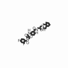 O=C(NCC(O)CN1CCc2ccccc2C1)c1ccc2c(c1)NC(=O)C1(CN(C(=O)c3ccc(F)cc3F)C1)O2